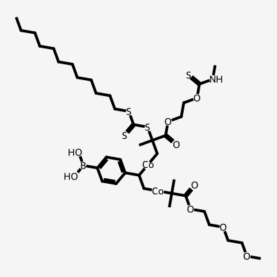 CCCCCCCCCCCCSC(=S)SC(C)([CH2][Co][CH]([CH2][Co][C](C)(C)C(=O)OCCOCCOC)c1ccc(B(O)O)cc1)C(=O)OCCOC(=S)NC